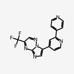 FC(F)(F)c1cnn2c(-c3ccnc(-c4ccncc4)c3)cnc2n1